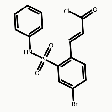 O=C(Cl)C=Cc1ccc(Br)cc1S(=O)(=O)Nc1ccccc1